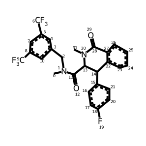 CN(Cc1cc(C(F)(F)F)cc(C(F)(F)F)c1)C(=O)C1C(c2ccc(F)cc2)c2ccccc2C(=O)N1C